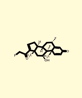 C[C@]12C=CC(=O)C=C1[C@@H](F)C[C@H]1[C@@H]3CC=C(C(=O)CF)[C@@]3(C)C[C@H](O)[C@@]12F